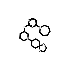 c1cc(N2CCCCCC2)nc(NC2CCCN(C3CCC4(CC3)OCCO4)C2)n1